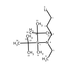 [Li][CH2]CCN(CC)[Si](C)(C(C)(C)C)C(C)(C)C